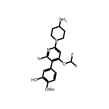 [2H]c1nc(N2CCC(N)CC2)cc(OC(F)F)c1-c1ccc(OC)c(O)c1